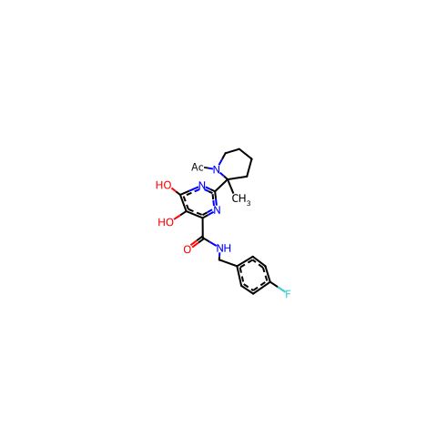 CC(=O)N1CCCCC1(C)c1nc(O)c(O)c(C(=O)NCc2ccc(F)cc2)n1